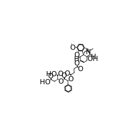 COc1ccc2c3c1O[C@H]1C(OC(=O)CCC(=O)O[C@H](C(=O)O[C@@H](CC(=O)O)C(=O)O)c4ccccc4)=CC[C@@]4(O)[C@@H](C2)N(C)CC[C@]314